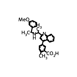 COc1cccc([C@@H](C)NC(C)c2cc(-c3ccc(C)c(C(=O)O)c3)c3ccccc3n2)c1